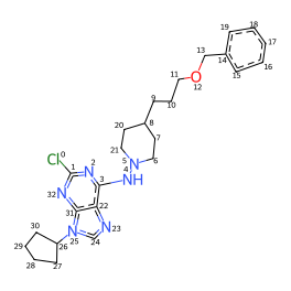 Clc1nc(NN2CCC(CCCOCc3ccccc3)CC2)c2ncn(C3CCCC3)c2n1